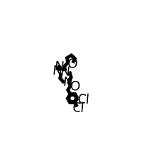 O=C(Cc1ccc(Cl)c(Cl)c1)N1CCc2nnc(C3CCCO3)n2CC1